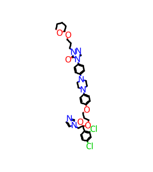 O=c1n(-c2ccc(N3CCN(c4ccc(OCC5COC(Cn6ccnc6)(c6ccc(Cl)cc6Cl)O5)cc4)CC3)cc2)cnn1CCCOC1CCCCO1